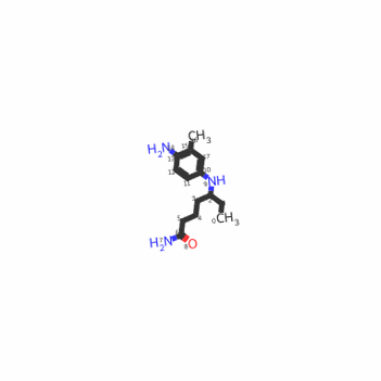 CCC(CCCC(N)=O)Nc1ccc(N)c(C)c1